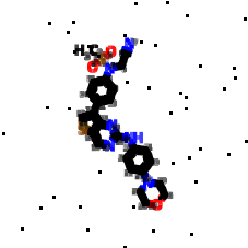 CS(=O)(=O)N(CC#N)c1ccc(-c2csc3cnc(Nc4ccc(N5CCOCC5)cc4)nc23)cc1